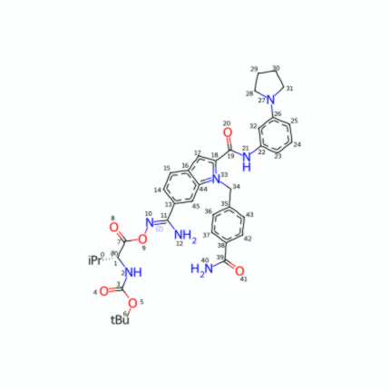 CC(C)[C@@H](NC(=O)OC(C)(C)C)C(=O)O/N=C(\N)c1ccc2cc(C(=O)Nc3cccc(N4CCCC4)c3)n(Cc3ccc(C(N)=O)cc3)c2c1